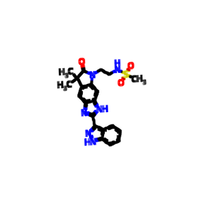 CC1(C)C(=O)N(CCNS(C)(=O)=O)c2cc3[nH]c(-c4n[nH]c5ccccc45)nc3cc21